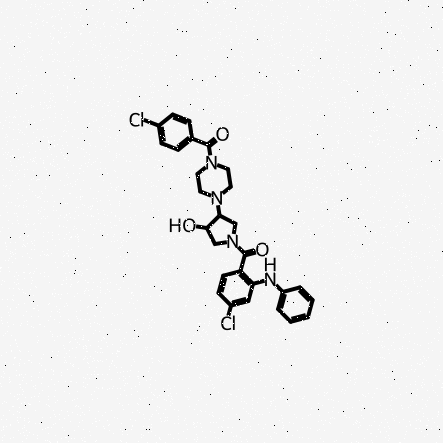 O=C(c1ccc(Cl)cc1)N1CCN(C2CN(C(=O)c3ccc(Cl)cc3Nc3ccccc3)CC2O)CC1